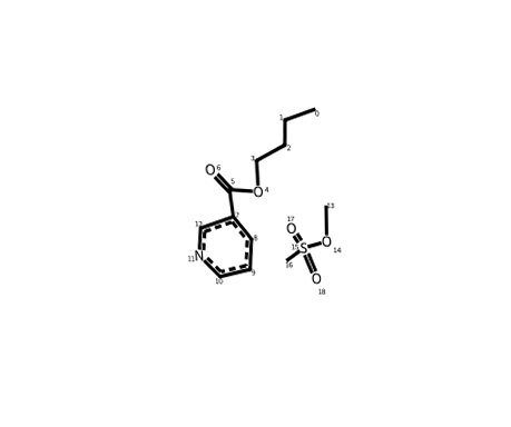 CCCCOC(=O)c1cccnc1.COS(C)(=O)=O